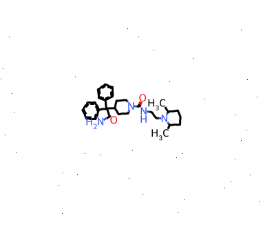 CC1CCCC(C)N1CCNC(=O)N1CCC(C(C(N)=O)(c2ccccc2)c2ccccc2)CC1